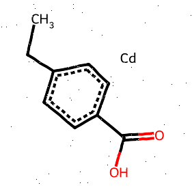 CCc1ccc(C(=O)O)cc1.[Cd]